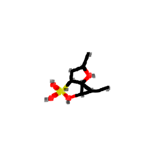 CC1CC2C3(O1)C(C)C3OS2(=O)=O